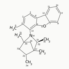 Cc1ccc2c(oc3ccccc32)c1N1[C@@H](C)C2(C)CC1(C)CC2C